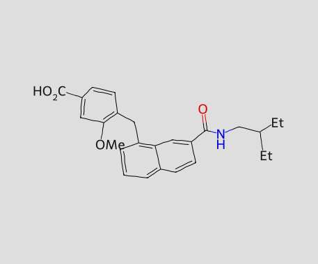 CCC(CC)CNC(=O)c1ccc2cccc(Cc3ccc(C(=O)O)cc3OC)c2c1